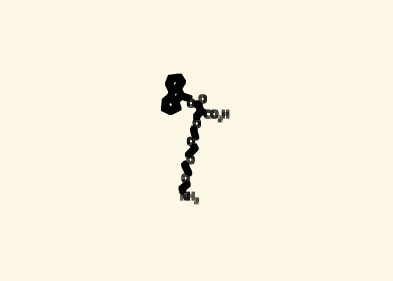 NCCOCCOCCOCCOCC(C(=O)O)C(=O)OCC1c2ccccc2-c2ccccc21